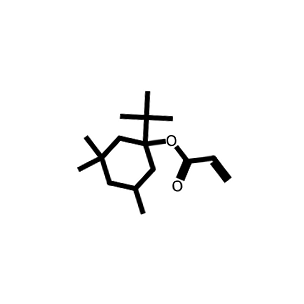 C=CC(=O)OC1(C(C)(C)C)CC(C)CC(C)(C)C1